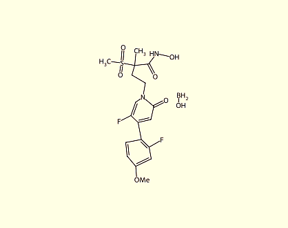 BO.COc1ccc(-c2cc(=O)n(CCC(C)(C(=O)NO)S(C)(=O)=O)cc2F)c(F)c1